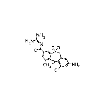 Cc1cc(C(=O)N=C(N)N)cc2c1Oc1c(Cl)cc(N)cc1CS2(=O)=O